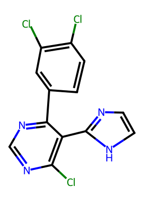 Clc1ccc(-c2ncnc(Cl)c2-c2ncc[nH]2)cc1Cl